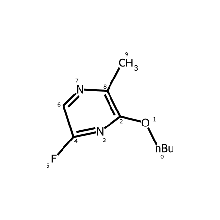 CCCCOc1nc(F)cnc1C